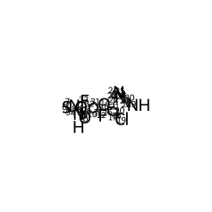 O=S(=O)(Nc1cscn1)c1cc(F)c(Oc2ccc(Cl)cc2-c2ccnn2C2CNC2)cc1F